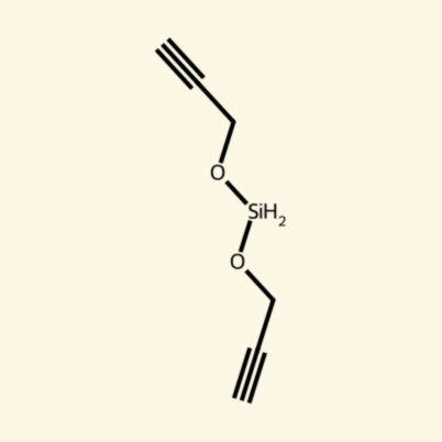 C#CCO[SiH2]OCC#C